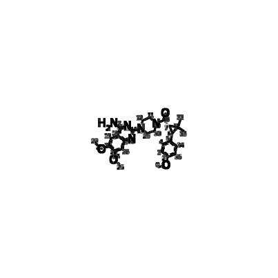 COc1ccc([C@H]2[C@H](C(=O)N3CCN(c4nc(N)c5cc(OC)c(OC)cc5n4)CC3)C2(C)C)cc1